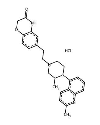 Cc1ccc2c(N3CCN(CCc4ccc5c(c4)NC(=O)CO5)CC3C)cccc2n1.Cl